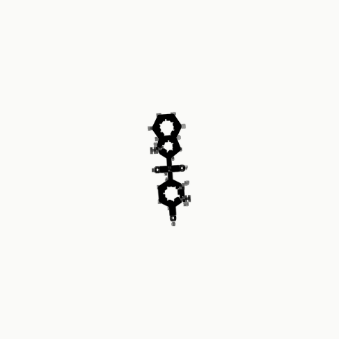 O=c1ccc(S(=O)(=O)c2cc3ccccc3[nH]2)n[nH]1